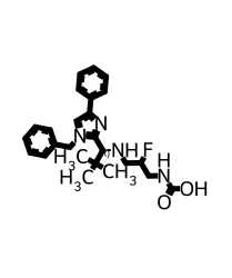 CC(C)(C)[C@@H](NCC(F)CNC(=O)O)c1nc(-c2ccccc2)cn1Cc1ccccc1